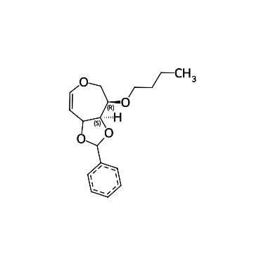 CCCCO[C@@H]1COC=CC2OC(c3ccccc3)O[C@@H]21